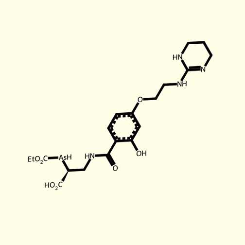 CCOC(=O)[AsH][C@@H](CNC(=O)c1ccc(OCCNC2=NCCCN2)cc1O)C(=O)O